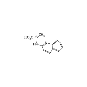 CCOC(=O)[C@H](C)Nc1ccc2ccccc2n1